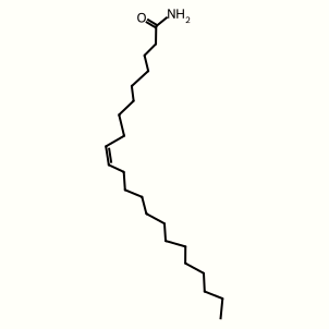 CCCCCCCCCCCC/C=C\CCCCCCCC(N)=O